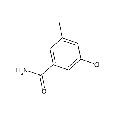 Cc1cc(Cl)cc(C(N)=O)c1